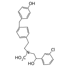 O=C(O)N(CCc1ccc(Cc2ccc(O)cc2)cc1)CC(O)c1cccc(Cl)c1